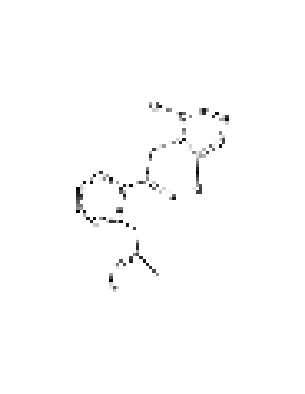 CCC=C(C)Cc1ccccc1C(=O)Cc1c(Cl)cccc1Cl